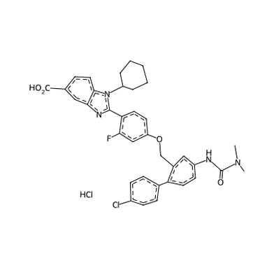 CN(C)C(=O)Nc1ccc(-c2ccc(Cl)cc2)c(COc2ccc(-c3nc4cc(C(=O)O)ccc4n3C3CCCCC3)c(F)c2)c1.Cl